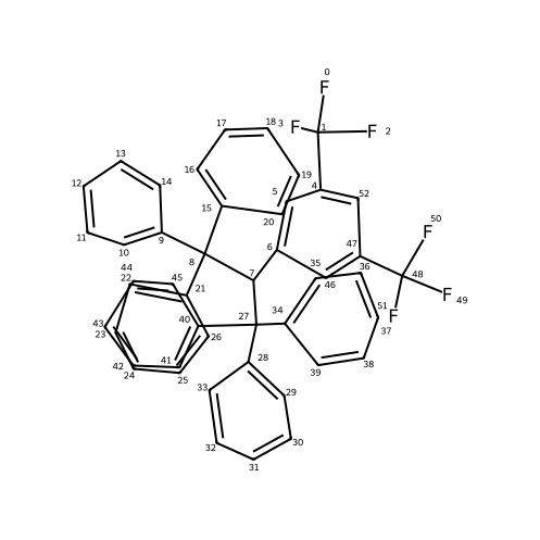 FC(F)(F)c1cc(C(C(c2ccccc2)(c2ccccc2)c2ccccc2)C(c2ccccc2)(c2ccccc2)c2ccccc2)cc(C(F)(F)F)c1